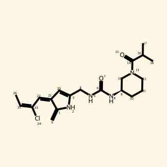 C=c1[nH]c(CNC(=O)N[C@@H]2CCCN(C(=O)C(C)C)C2)c/c1=C/C(Cl)=C\C